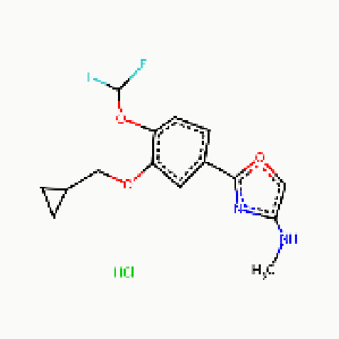 CNc1coc(-c2ccc(OC(F)F)c(OCC3CC3)c2)n1.Cl